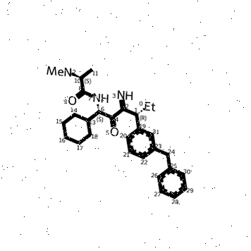 CC[C@@H](C(=N)C(=O)[C@@H](NC(=O)[C@H](C)NC)C1CCCCC1)c1cccc(Cc2ccccc2)c1